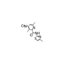 [C-]#[N+]c1cc(C)nc(C(=O)Nc2nc(C)cs2)c1C